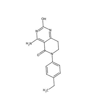 CCc1ccc(N2CCc3nc(O)nc(N)c3C2=O)cc1